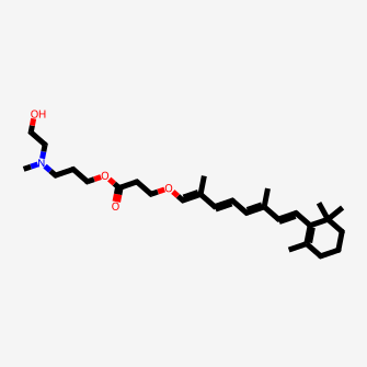 CC1=C(/C=C/C(C)=C/C=C/C(C)=C/OCCC(=O)OCCCN(C)CCO)C(C)(C)CCC1